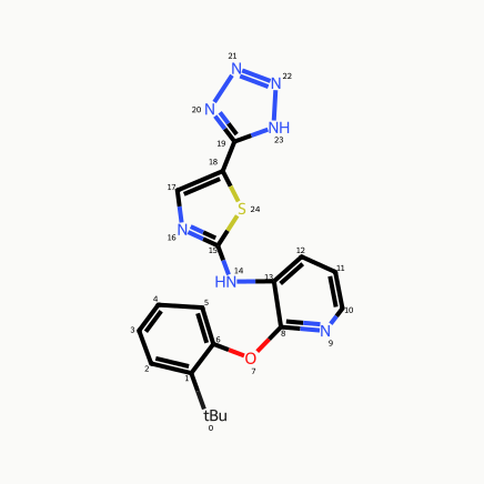 CC(C)(C)c1ccccc1Oc1ncccc1Nc1ncc(-c2nnn[nH]2)s1